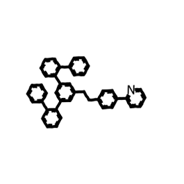 c1ccc(-c2ccccc2-c2cc(CCc3ccc(-c4ccccn4)cc3)cc(-c3ccccc3-c3ccccc3)c2)cc1